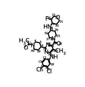 CC(=O)N1CCC(c2nc(Nc3ccc(Cl)c(Cl)c3)c(C)c(C(=O)N3CCC(NC4CCOCC4F)CC3)n2)CC1